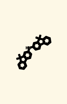 CC1(C)c2ccccc2-c2ccc(Nc3ccc4c(c3)C(C)(C)c3ccccc3-4)cc21